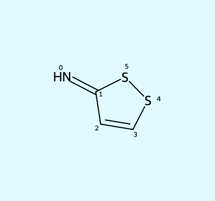 N=c1ccss1